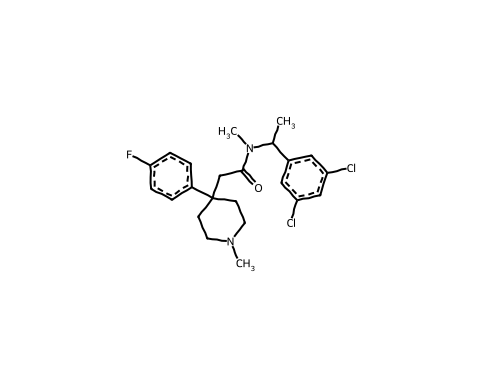 CC(c1cc(Cl)cc(Cl)c1)N(C)C(=O)CC1(c2ccc(F)cc2)CCN(C)CC1